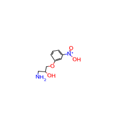 NCC(O)COc1cccc([N+](=O)O)c1